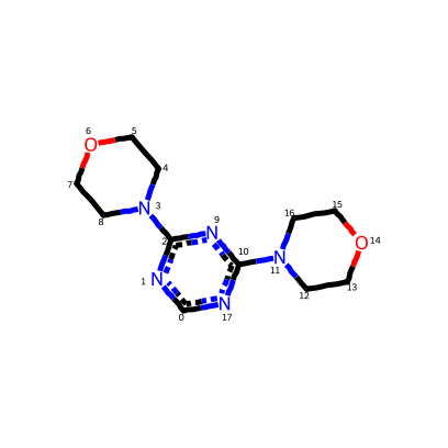 c1nc(N2CCOCC2)nc(N2CCOCC2)n1